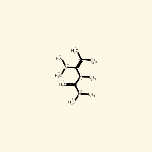 C=C(N(C)C)N(C)C(=C(C)C)N(C)C